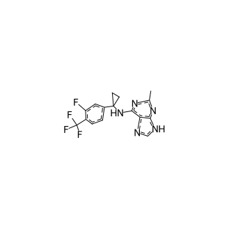 Cc1nc(NC2(c3ccc(C(F)(F)F)c(F)c3)CC2)c2nc[nH]c2n1